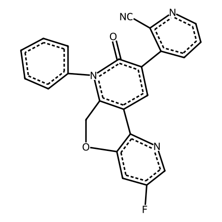 N#Cc1ncccc1-c1cc2c(n(-c3ccccc3)c1=O)COc1cc(F)cnc1-2